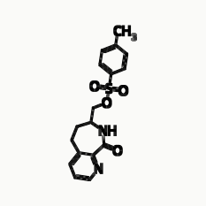 Cc1ccc(S(=O)(=O)OCC2CCc3cccnc3C(=O)N2)cc1